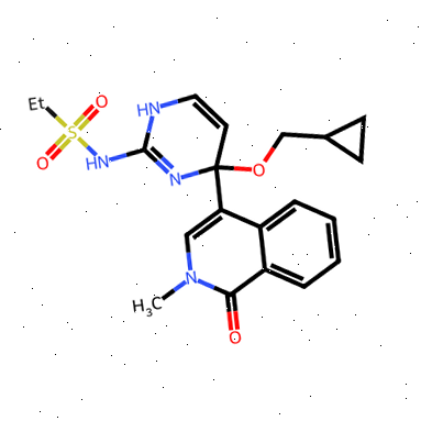 CCS(=O)(=O)NC1=NC(OCC2CC2)(c2cn(C)c(=O)c3ccccc23)C=CN1